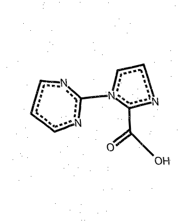 O=C(O)c1nccn1-c1ncccn1